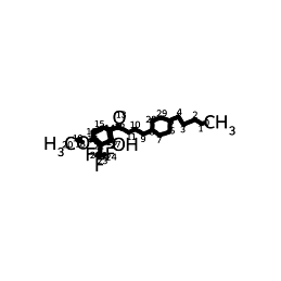 CCCCCC1CCC(CCCC(=O)c2ccc(OCC)c(C(F)(F)F)c2O)CC1